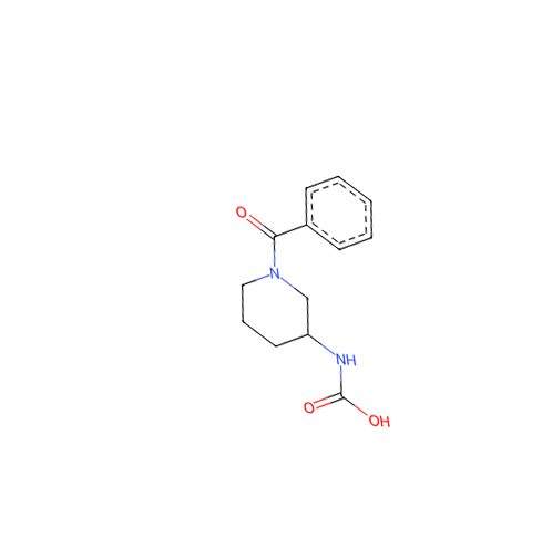 O=C(O)NC1CCCN(C(=O)c2ccccc2)C1